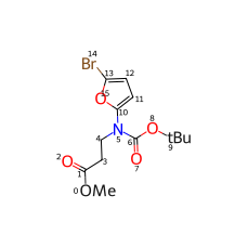 COC(=O)CCN(C(=O)OC(C)(C)C)c1ccc(Br)o1